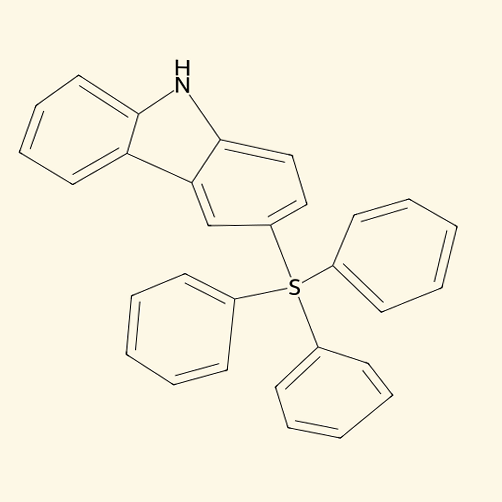 c1ccc(S(c2ccccc2)(c2ccccc2)c2ccc3[nH]c4ccccc4c3c2)cc1